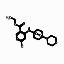 CCOC(=O)c1cnc(Cl)cc1NC12CCC(N3CCOCC3)(CC1)CC2